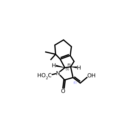 CC1(C)CCCC2=C1[C@@H]1[C@H](C2)/C(=C\O)C(=O)N1C(=O)O